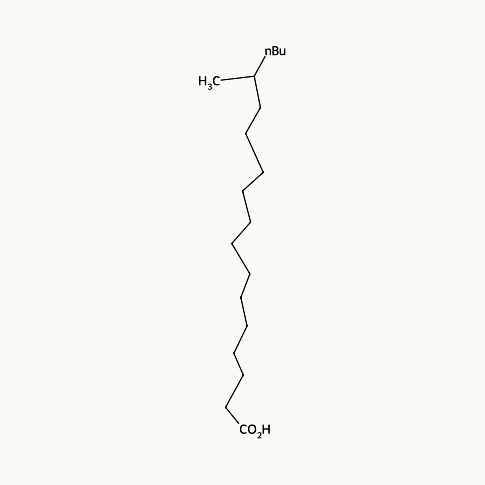 CCCCC(C)CCCCCCCCCCCCC(=O)O